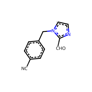 N#Cc1ccc(Cn2[c]cnc2C=O)cc1